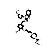 CCOc1ccc(CNc2nc3ccccc3n2[C@H]2CC[C@@H](CO)O2)cc1OCCCN1CCN(C(=O)OC(C)(C)C)CC1